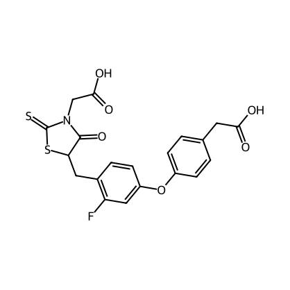 O=C(O)Cc1ccc(Oc2ccc(CC3SC(=S)N(CC(=O)O)C3=O)c(F)c2)cc1